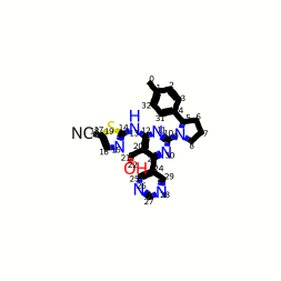 Cc1ccc(C2CCCN2c2nc(Nc3ncc(C#N)s3)c(CO)c(-c3cncnc3)n2)cc1